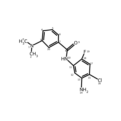 CN(C)c1cccc(C(=O)Nc2cc(N)c(Cl)cc2F)c1